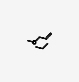 C=CCOC.CCC